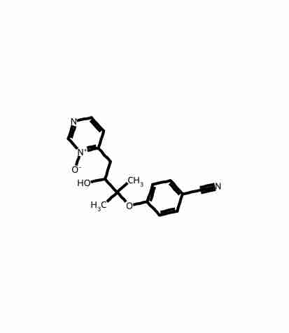 CC(C)(Oc1ccc(C#N)cc1)C(O)Cc1ccnc[n+]1[O-]